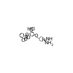 Cl.N=C(N)N1CCC(COc2cc(Cl)cc(OS(=O)(=O)c3ccccc3Cl)c2)CC1